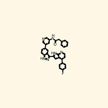 O=C(Cc1ccccc1)Nc1cncc(-c2ccc3[nH]nc(-c4cc5c(-c6ccc(F)cc6)ccnc5[nH]4)c3c2)c1